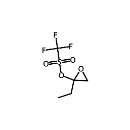 CCC1(OS(=O)(=O)C(F)(F)F)CO1